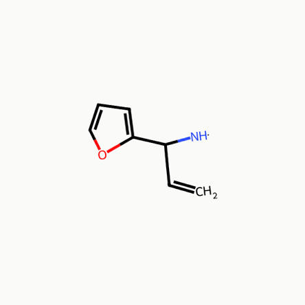 C=CC([NH])c1ccco1